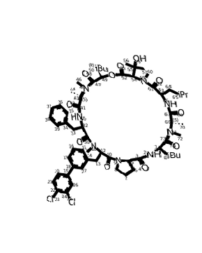 CCC(C)C1NC(=O)C2CCCN2C(=O)C(Cc2cccc(-c3ccc(Cl)c(Cl)c3)c2)N(C)C(=O)C(Cc2ccccc2)NC(=O)[C@H](C)N(C)C(=O)C([C@H](C)CC)OC(=O)C(C(C)(C)O)N(C)C(=O)C(CC(C)C)NC(=O)[C@H](C)N(C)C1=O